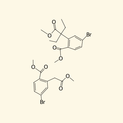 CCC(CC)(C(=O)OC)c1cc(Br)ccc1C(=O)OC.COC(=O)Cc1cc(Br)ccc1C(=O)OC